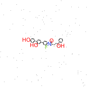 O=C1C(CC[C@H](O)c2ccccc2)CN1c1ccc(-c2ccc(-c3ccc(O)cc3)c(O)c2)cc1F